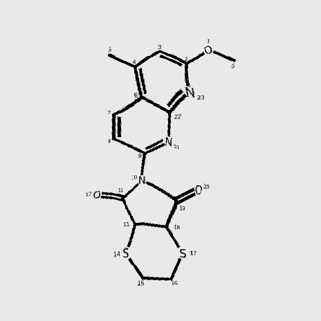 COc1cc(C)c2ccc(N3C(=O)C4SCCSC4C3=O)nc2n1